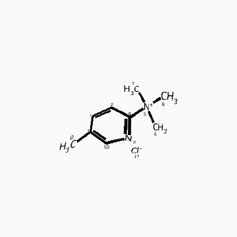 Cc1ccc([N+](C)(C)C)nc1.[Cl-]